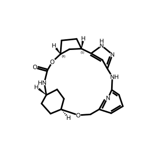 O=C1N[C@H]2CC[C@@H](CC2)OCc2cccc(n2)Nc2cc([nH]n2)[C@H]2CC[C@H](C2)O1